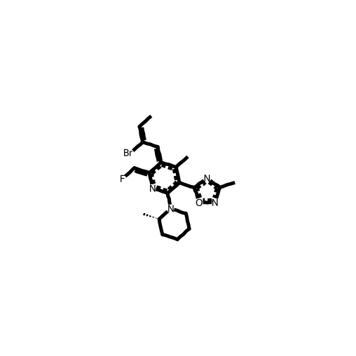 C\C=C(Br)/C=c1/c(C)c(-c2nc(C)no2)c(N2CCCC[C@@H]2C)n/c1=C\F